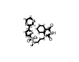 CN(CCCn1c2c(c(=O)[nH]c1=O)CCCC2)S(=O)(=O)c1ccc(-c2cnccn2)s1